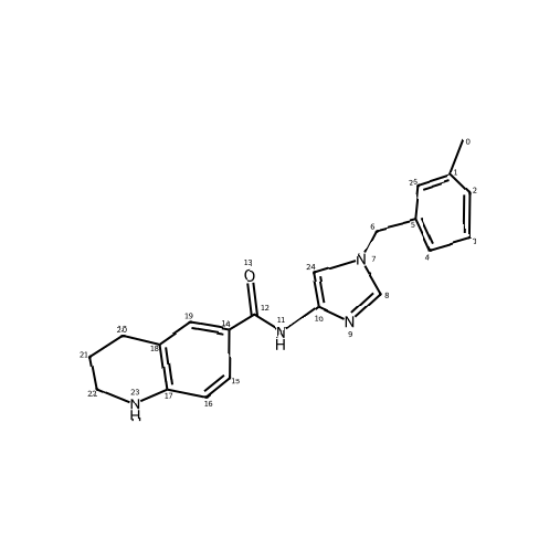 Cc1cccc(Cn2cnc(NC(=O)c3ccc4c(c3)CCCN4)c2)c1